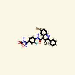 Cc1c(-c2ccccc2)nc2ccc(Br)cc2c1C(=O)Nc1ccc(-c2noc(=O)[nH]2)cc1F